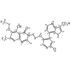 Cc1nc2cc(C(F)(F)F)c(OCC(F)(F)F)c(C#N)c2c(=O)n1CCOc1ccc(Cl)cc1-c1ccnc2c(C(=O)O)csc12